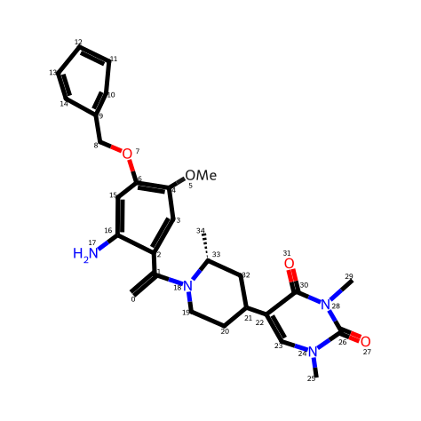 C=C(c1cc(OC)c(OCc2ccccc2)cc1N)N1CCC(c2cn(C)c(=O)n(C)c2=O)C[C@H]1C